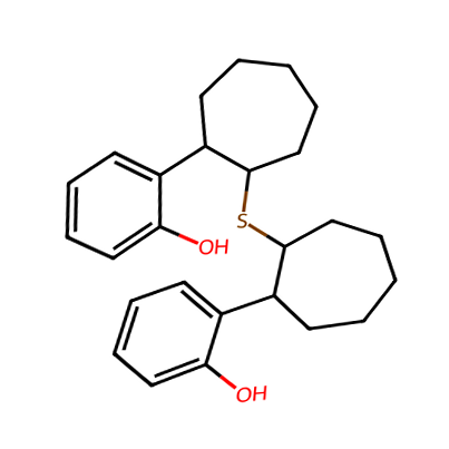 Oc1ccccc1C1CCCCCC1SC1CCCCCC1c1ccccc1O